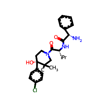 CC(C)[C@@H](NC(=O)[C@@H](N)c1ccccc1)C(=O)N1CC[C@](O)(c2ccc(Cl)cc2)C(C)(C)C1